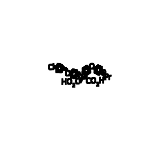 CC(C)Oc1ccc(Oc2ccc3c(c2)c(C(=O)O)c(CC(=O)O)n3-c2ccc(OCc3ccc(Cl)cc3)cc2)cc1